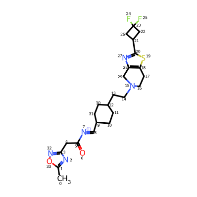 Cc1nc(CC(=O)/N=C/C2CCC(CCN3CCc4sc(C5CC(F)(F)C5)nc4C3)CC2)no1